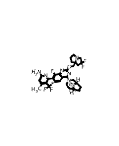 Cc1cc(N)nc(-c2ccc3c(N4CC[C@H]5CC[C@@H](C4)N5)nc(OCC45CCCN4CC(F)(F)C5)nc3c2F)c1C(F)(F)F